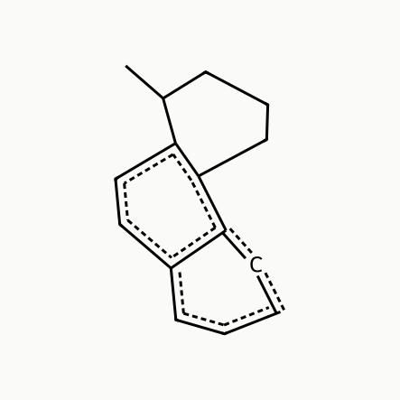 CC1CCCc2c1ccc1ccccc21